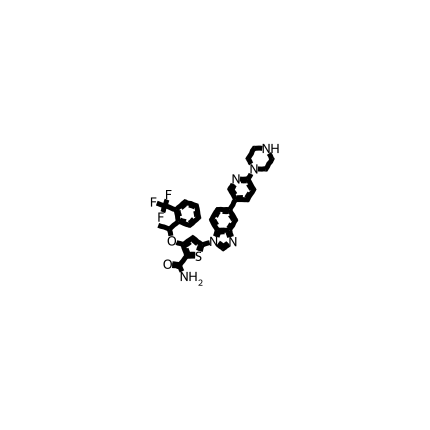 CC(Oc1cc(-n2cnc3cc(-c4ccc(N5CCNCC5)nc4)ccc32)sc1C(N)=O)c1ccccc1C(F)(F)F